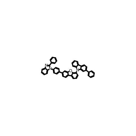 c1ccc(-c2ccc3c4ccccc4n(-c4cccc5c4oc4cc(-c6ccc(-n7c(-c8ccccc8)nc8ccccc87)cc6)ccc45)c3c2)cc1